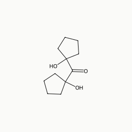 O=C(C1(O)CCCC1)C1(O)CCCC1